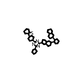 c1ccc(-c2nc(-c3ccc4cc(-c5ccccc5-c5ccc6ccccc6c5)ccc4c3)nc(-c3ccc4c(c3)sc3ccccc34)n2)cc1